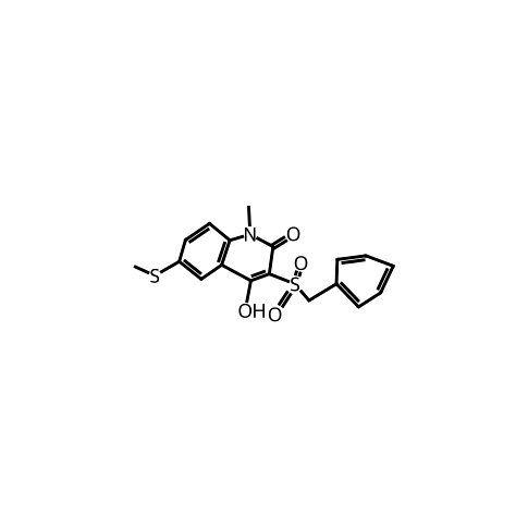 CSc1ccc2c(c1)c(O)c(S(=O)(=O)Cc1ccccc1)c(=O)n2C